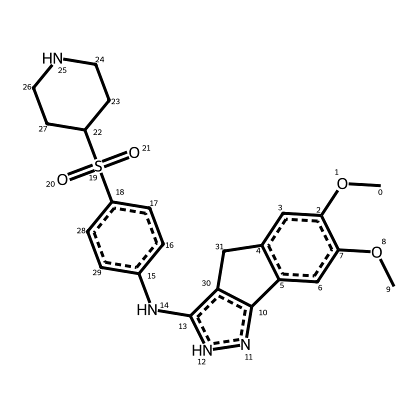 COc1cc2c(cc1OC)-c1n[nH]c(Nc3ccc(S(=O)(=O)C4CCNCC4)cc3)c1C2